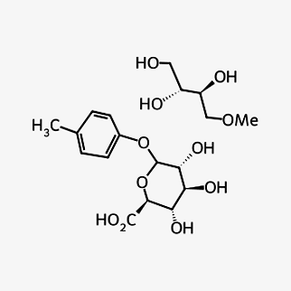 COC[C@H](O)[C@H](O)CO.Cc1ccc(OC2O[C@H](C(=O)O)[C@@H](O)[C@H](O)[C@H]2O)cc1